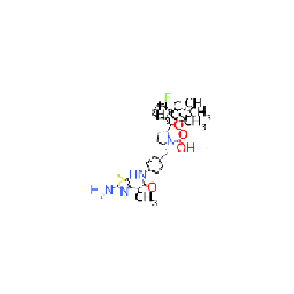 CC(C(=O)Nc1ccc(C[C@@H]2CC[C@H]([C@H](O[Si](C)(C)C(C)(C)C)c3cccc(F)c3)N2C(=O)O)cc1)c1csc(N)n1